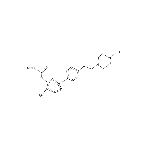 CC(=O)NC(=S)Nc1cc(-c2ccc(CCN3CCN(C)CC3)cc2)ccc1C